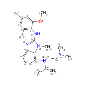 COc1cc(Br)cc(C)c1Nc1nc2cccc(N(CCN(C)C)C(C)C)c2n1C